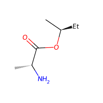 CC[C@H](C)OC(=O)[C@@H](C)N